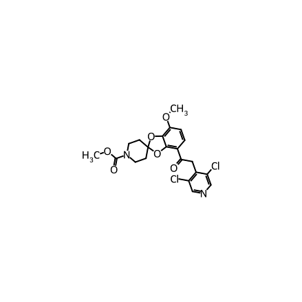 COC(=O)N1CCC2(CC1)Oc1c(OC)ccc(C(=O)Cc3c(Cl)cncc3Cl)c1O2